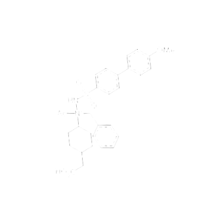 COc1ccc(-c2ccc(S(=O)(=O)N[N+](Cc3ccccc3)(C(C)=O)C3CCC(CC(=O)O)CC3)cc2)cc1